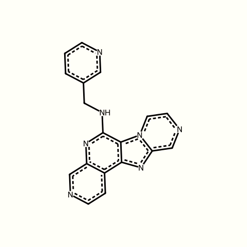 c1cncc(CNc2nc3cnccc3c3nc4cnccn4c23)c1